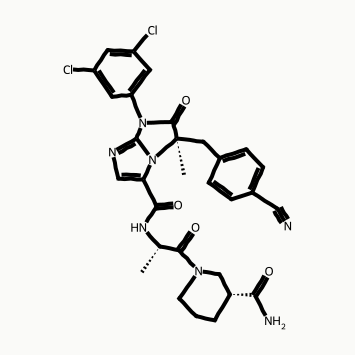 C[C@H](NC(=O)c1cnc2n1[C@](C)(Cc1ccc(C#N)cc1)C(=O)N2c1cc(Cl)cc(Cl)c1)C(=O)N1CCC[C@@H](C(N)=O)C1